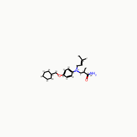 C[C](CN(CC=C(C)C)c1ccc(OCC2CCCCC2)cc1)C(N)=O